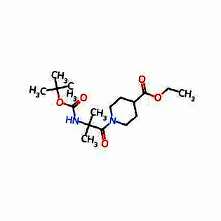 CCOC(=O)C1CCN(C(=O)C(C)(C)NC(=O)OC(C)(C)C)CC1